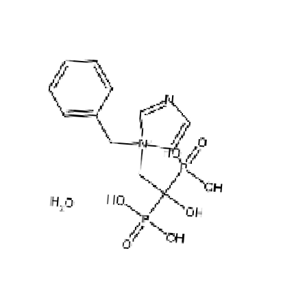 O.O=P(O)(O)C(O)(C[N+]1(Cc2ccccc2)C=CN=C1)P(=O)(O)O